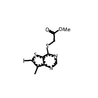 COC(=O)CSc1ncnc2c(C)c(I)sc12